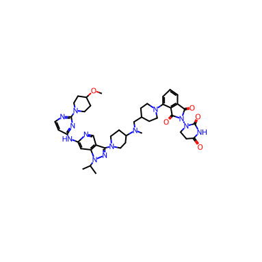 COC1CCN(c2nccc(Nc3cc4c(cn3)c(N3CCC(N(C)CC5CCN(c6cccc7c6C(=O)N(N6CCC(=O)NC6=O)C7=O)CC5)CC3)nn4C(C)C)n2)CC1